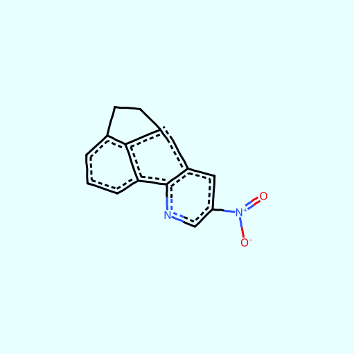 O=[N+]([O-])c1cnc2c(c1)cc1c3c(cccc32)CC1